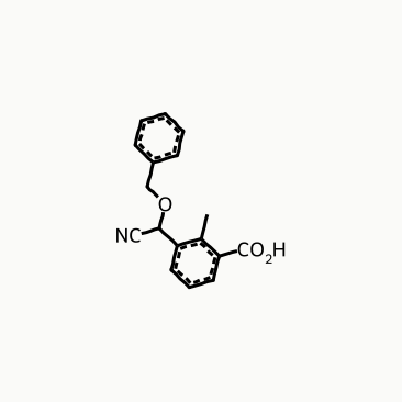 Cc1c(C(=O)O)cccc1C(C#N)OCc1ccccc1